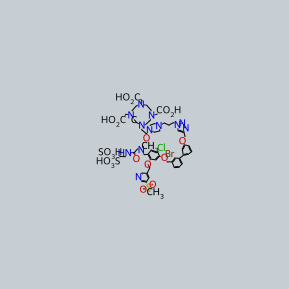 CN(CC(=O)NCC(S(=O)(=O)O)S(=O)(=O)O)Cc1cc(Cl)c(OCc2cccc(-c3cccc(OCc4cn(CCCN5CCN(C(=O)CN6CCN(CC(=O)O)CCN(CC(=O)O)CCN(CC(=O)O)CC6)CC5)nn4)c3)c2Br)cc1OCc1cncc(S(C)(=O)=O)c1